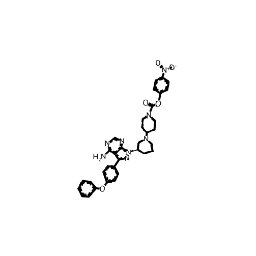 Nc1ncnc2c1c(-c1ccc(Oc3ccccc3)cc1)nn2[C@@H]1CCCN(C2CCN(C(=O)Oc3ccc([N+](=O)[O-])cc3)CC2)C1